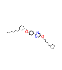 CCCCCCC1CCCC(COc2ccc(-c3ncc(OCCCCCC4CCCC4)cn3)cc2)C1